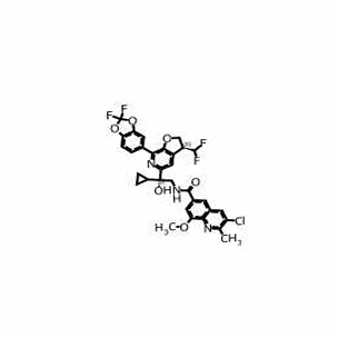 COc1cc(C(=O)NC[C@](O)(c2cc3c(c(-c4ccc5c(c4)OC(F)(F)O5)n2)OC[C@H]3C(F)F)C2CC2)cc2cc(Cl)c(C)nc12